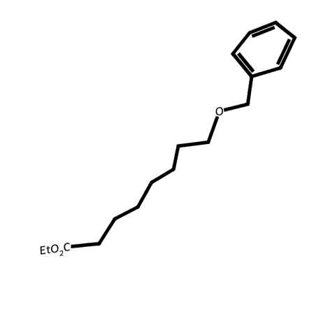 CCOC(=O)CCCCCCCOCc1ccccc1